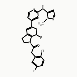 Cn1nccc1Nc1nccc(C2=CC3=C(C(F)C2)N(C(=O)Cc2cc(F)ccc2Cl)CC3)n1